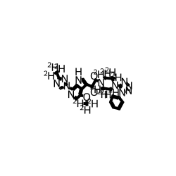 [2H]C([2H])([2H])Oc1cnc(-n2cnc(C([2H])([2H])[2H])n2)c2[nH]cc(C(=O)C(=O)N3C([2H])([2H])C([2H])([2H])N(c4nnnn4-c4ccccc4)C([2H])([2H])C3([2H])[2H])c12